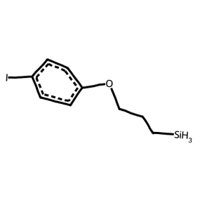 [SiH3]CCCOc1ccc(I)cc1